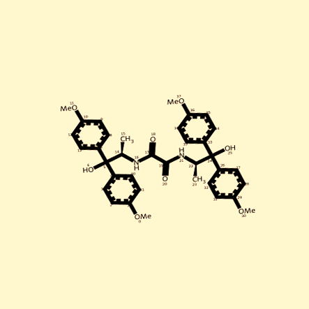 COc1ccc(C(O)(c2ccc(OC)cc2)[C@@H](C)NC(=O)C(=O)N[C@H](C)C(O)(c2ccc(OC)cc2)c2ccc(OC)cc2)cc1